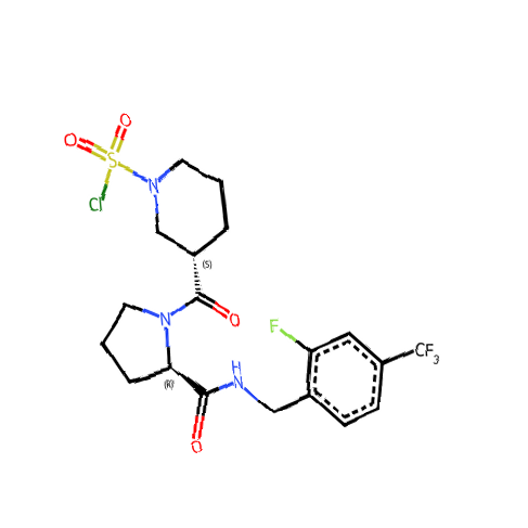 O=C(NCc1ccc(C(F)(F)F)cc1F)[C@H]1CCCN1C(=O)[C@H]1CCCN(S(=O)(=O)Cl)C1